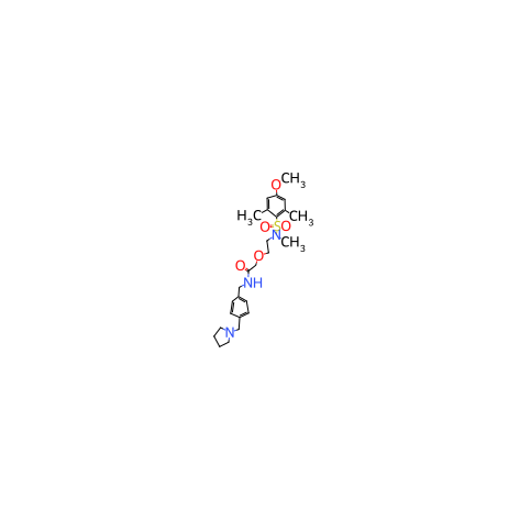 COc1cc(C)c(S(=O)(=O)N(C)CCOCC(=O)NCc2ccc(CN3CCCC3)cc2)c(C)c1